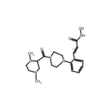 CN1CCN(C)C(C(=O)N2CCN(c3ccccc3/C=C/C(=O)NO)CC2)C1